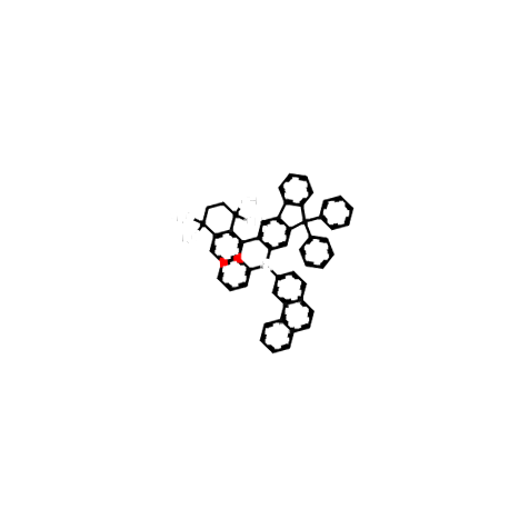 CC1(C)CCC(C)(C)c2c(-c3cc4c(cc3N(c3ccccc3)c3ccc5ccc6ccccc6c5c3)C(c3ccccc3)(c3ccccc3)c3ccccc3-4)cccc21